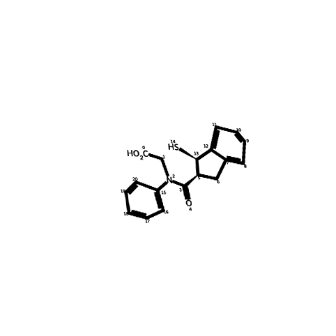 O=C(O)CN(C(=O)[C@@H]1Cc2ccccc2[C@@H]1S)c1ccccc1